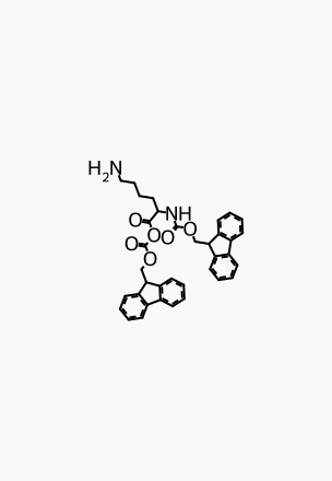 NCCCCC(NC(=O)OCC1c2ccccc2-c2ccccc21)C(=O)OC(=O)OCC1c2ccccc2-c2ccccc21